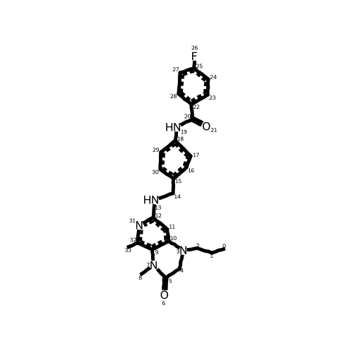 CCCN1CC(=O)N(C)c2c1cc(NCc1ccc(NC(=O)c3ccc(F)cc3)cc1)nc2C